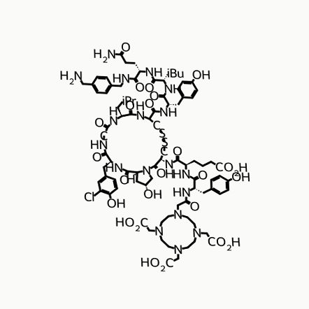 CCC(C)[C@H](NC(=O)[C@H](Cc1ccc(O)cc1)NC(=O)C1CSSC[C@H](NC(=O)[C@@H](CCCC(=O)O)NC(=O)[C@H](Cc2ccc(O)cc2)NC(=O)CN2CCN(CC(=O)O)CCN(CC(=O)O)CCN(CC(=O)O)CC2)C(=O)N2C[C@H](O)C[C@H]2C(=O)N[C@@H](Cc2ccc(O)c(Cl)c2)C(=O)NCC(=O)N[C@@H](CC(C)C)C(=O)N1)C(=O)N[C@@H](CCC(N)=O)C(=O)NCc1ccc(CN)cc1